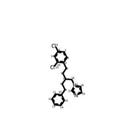 Clc1ccc(CCC(CCc2ccccc2)Cn2ccnc2)c(Cl)c1